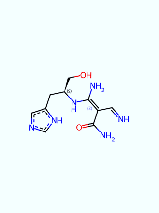 N=C/C(C(N)=O)=C(\N)N[C@H](CO)Cc1cnc[nH]1